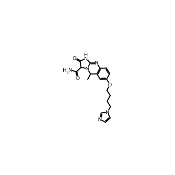 CC1c2cc(OCCCCn3ccnc3)ccc2N=C2NC(=O)C(C(N)=O)N21